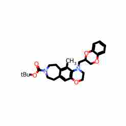 Cc1c2c(cc3c1N(CC1COc4ccccc4O1)CCO3)CCN(C(=O)OC(C)(C)C)CC2